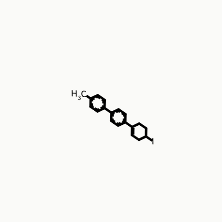 Cc1ccc(-c2ccc(C3=CCC(I)CC3)cc2)cc1